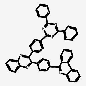 c1ccc(-c2nc(-c3ccccc3)nc(-c3ccc(-c4nc5ccccc5nc4-c4ccc(-c5nc6ccccc6c6ccccc56)cc4)cc3)n2)cc1